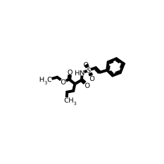 CCCC(C(=O)NS(=O)(=O)/C=C/c1ccccc1)C(=O)OCC